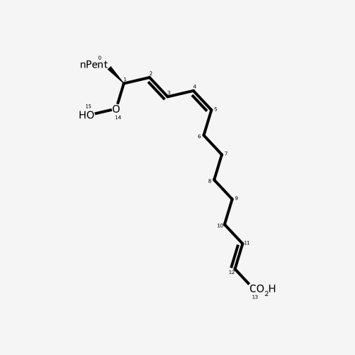 CCCCC[C@@H](/C=C/C=C\CCCCCC=CC(=O)O)OO